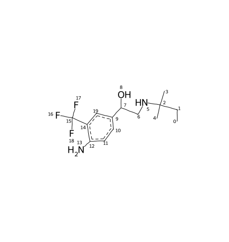 CCC(C)(C)NCC(O)c1ccc(N)c(C(F)(F)F)c1